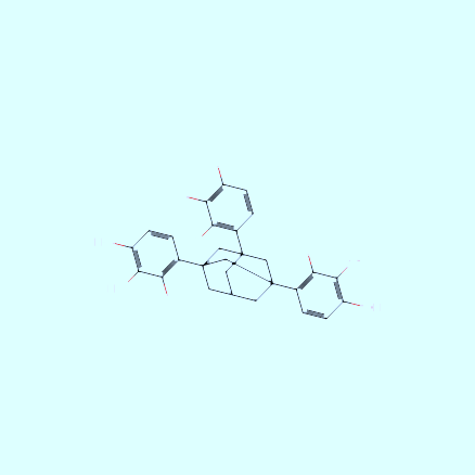 Oc1ccc(C23CC4CC(c5ccc(O)c(O)c5O)(C2)CC(c2ccc(O)c(O)c2O)(C4)C3)c(O)c1O